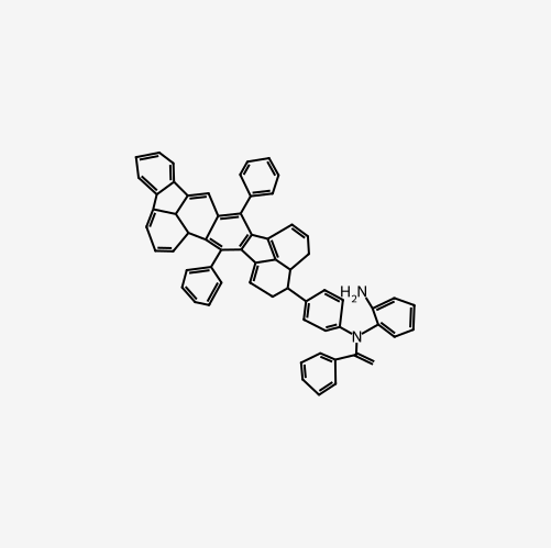 C=C(c1ccccc1)N(c1ccc(C2CC=C3C4=C(C=CCC42)c2c3c(-c3ccccc3)c3c(c2-c2ccccc2)C=C2c4ccccc4C4=CC=CC3C42)cc1)c1ccccc1N